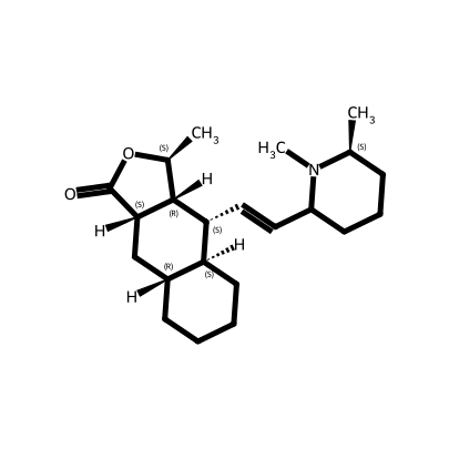 C[C@@H]1OC(=O)[C@H]2C[C@H]3CCCC[C@@H]3[C@@H](C=CC3CCC[C@H](C)N3C)[C@@H]12